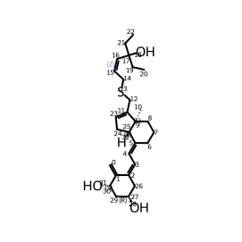 C=C1C(=CC=C2CCC[C@]3(C)C(CSC/C=C\C(O)(CC)CC)=CC[C@@H]23)C[C@@H](O)C[C@@H]1O